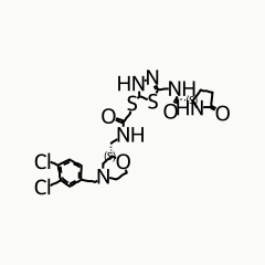 O=C(CSC1NN=C(NC(=O)[C@@H]2CCC(=O)N2)S1)NC[C@H]1CN(Cc2ccc(Cl)c(Cl)c2)CCO1